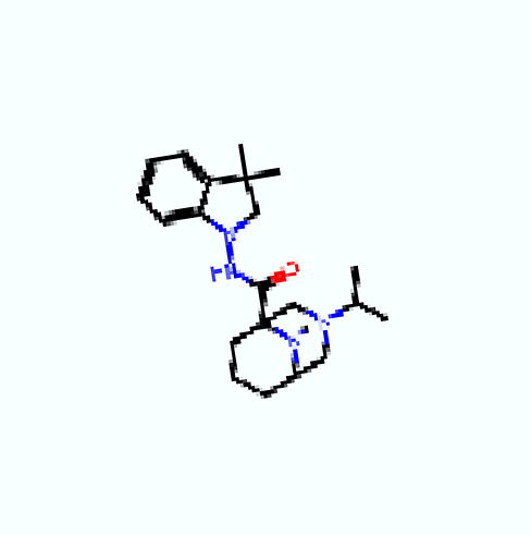 CC(C)N1CC2C[CH]CC(C(=O)NN3CC(C)(C)c4ccccc43)(C1)N2C